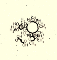 CC[C@H]1OC(=O)[C@H](C)[C@@H](O[C@H]2C[C@@](C)(OC)[C@@H](O)[C@H](C)O2)[C@H](C)[C@@H](O[C@@H]2O[C@H](C)C[C@H](N(C)C)[C@H]2O)[C@](C)(O)C[C@@H](C)CN(C)[C@H](C)[C@@H](O)[C@]1(C)O.O=C(O)/C=C/C(=O)O